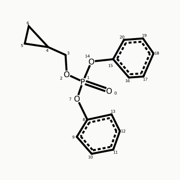 O=P(OCC1CC1)(Oc1ccccc1)Oc1ccccc1